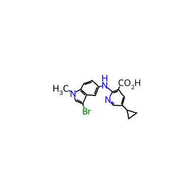 Cn1cc(Br)c2cc(Nc3ncc(C4CC4)cc3C(=O)O)ccc21